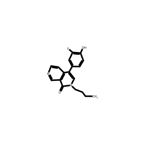 CCCCn1cc(-c2ccc(O)c(F)c2)c2ccncc2c1=O